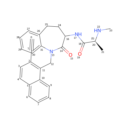 C#Cc1ccc2ccccc2c1CN1C(=O)C(NC(=O)[C@H](C)NC)CCc2ccccc21